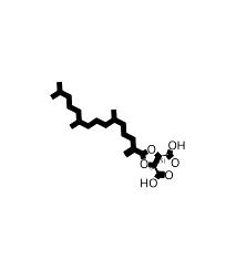 C=C(CCCC(C)CCCC(C)CCCC(C)C)C1O[C@H](C(=O)O)[C@@H](C(=O)O)O1